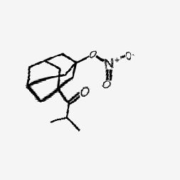 CC(C)C(=O)C12CC3CC(CC(O[N+](=O)[O-])(C3)C1)C2